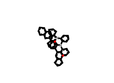 c1ccc(N(c2cc(-c3ccc4ccccc4c3)ccc2-c2ccc3ccccc3c2)c2ccccc2-n2c3ccccc3c3ccccc32)cc1